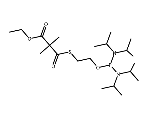 CCOC(=O)C(C)(C)C(=O)SCCOP(N(C(C)C)C(C)C)N(C(C)C)C(C)C